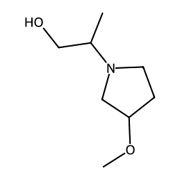 COC1CCN(C(C)CO)C1